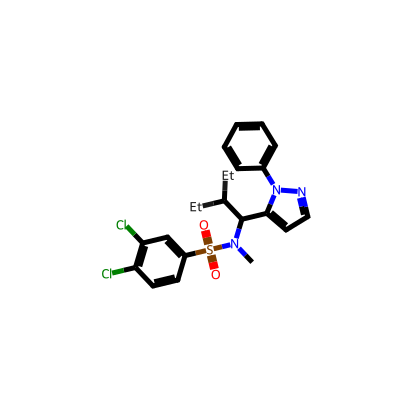 CCC(CC)C(c1ccnn1-c1ccccc1)N(C)S(=O)(=O)c1ccc(Cl)c(Cl)c1